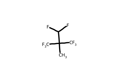 CC(C(F)F)(C(F)(F)F)C(F)(F)F